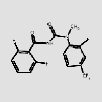 CN(C(=O)NC(=O)c1c(F)cccc1F)c1ccc(C(F)(F)F)cc1F